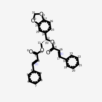 O=C(/C=C/c1ccccc1)OC[C@@H](OC(=O)/C=C/c1ccccc1)c1ccc2c(c1)OCO2